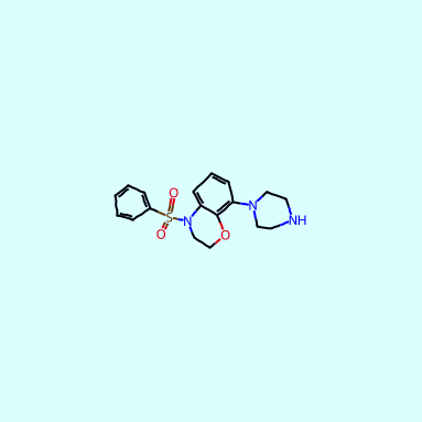 O=S(=O)(c1ccccc1)N1CCOc2c(N3CCNCC3)cccc21